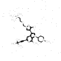 Cc1nc(C#CC(C)(C)O)cc2c(-c3cn(COCC[Si](C)(C)C)nc3Cl)cn(C3CCN(C)CC3)c12